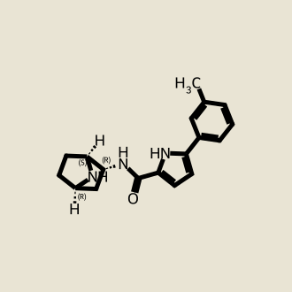 Cc1cccc(-c2ccc(C(=O)N[C@@H]3C[C@H]4CC[C@@H]3N4)[nH]2)c1